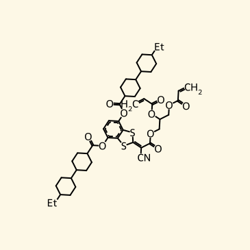 C=CC(=O)OCC(COC(=O)C(C#N)=C1Sc2c(OC(=O)C3CCC(C4CCC(CC)CC4)CC3)ccc(OC(=O)C3CCC(C4CCC(CC)CC4)CC3)c2S1)OC(=O)C=C